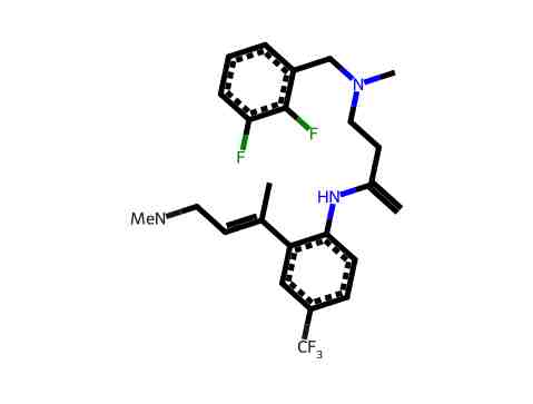 C=C(CCN(C)Cc1cccc(F)c1F)Nc1ccc(C(F)(F)F)cc1C(C)=CCNC